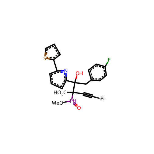 CO[PH](=O)C(C#CC(C)C)(C(=O)O)C(O)(Cc1ccc(F)cc1)c1cccc(-c2cccs2)n1